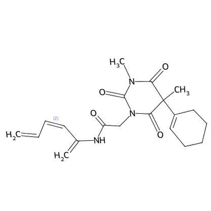 C=C/C=C\C(=C)NC(=O)CN1C(=O)N(C)C(=O)C(C)(C2=CCCCC2)C1=O